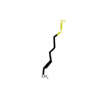 CC=CCCCSS